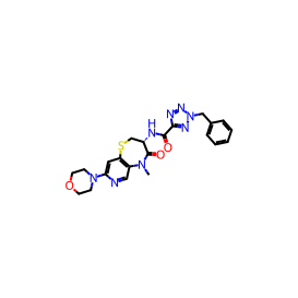 CN1C(=O)[C@@H](NC(=O)c2nnn(Cc3ccccc3)n2)CSc2cc(N3CCOCC3)ncc21